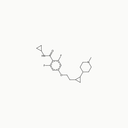 CN1CCC(C2CC2CCOc2cc(F)c(C(=O)NC3CC3)c(F)c2)CC1